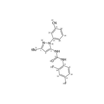 CC(C)(C)c1cc(NC(=O)Nc2ccc(F)cc2F)n(-c2cccc(C#N)c2)n1